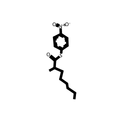 CCCCCCC(C)C(=O)Sc1ccc([N+](=O)[O-])cc1